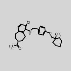 CC1(COc2ccc(CNc3c(Cl)ccc4c3CCN(C(=O)C(F)(F)F)CC4)cc2)CCCCC1